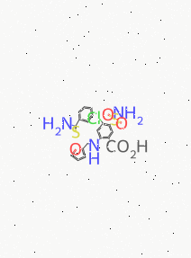 NC(=S)c1ccccc1.NS(=O)(=O)c1cc(C(=O)O)c(NCc2ccco2)cc1Cl